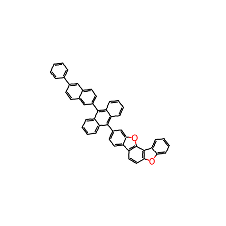 c1ccc(-c2ccc3cc(-c4c5ccccc5c(-c5ccc6c(c5)oc5c6ccc6oc7ccccc7c65)c5ccccc45)ccc3c2)cc1